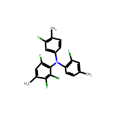 Cc1ccc(N(c2ccc(C)c(F)c2)c2c(F)cc(C)c(F)c2F)c(F)c1